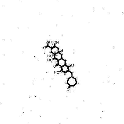 NC(=O)C1=C(O)C[C@@H]2CC3Cc4c(Cl)c(CN5CCCC(=O)CC5)cc(O)c4C(=O)C3=C(O)[C@]2(O)C1